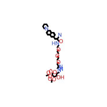 COC1OC(Cn2cc(COCCOCCOCCNC(=O)/C(C#N)=C/c3ccc4cc(N5CCCCC5)ccc4c3)nn2)C(O)C(OC(C)=O)C1OC(C)=O